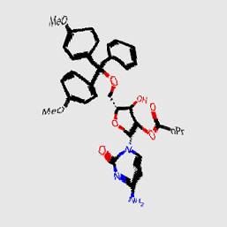 CCCC(=O)OC1C(O)[C@@H](COC(c2ccccc2)(c2ccc(OC)cc2)c2ccc(OC)cc2)O[C@H]1n1ccc(N)nc1=O